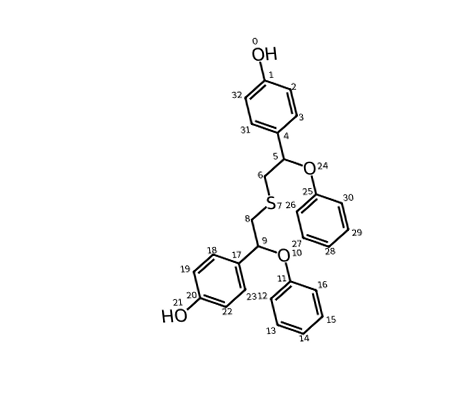 Oc1ccc(C(CSCC(Oc2ccccc2)c2ccc(O)cc2)Oc2ccccc2)cc1